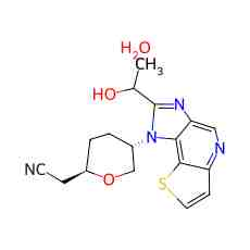 CC(O)c1nc2cnc3ccsc3c2n1[C@H]1CC[C@H](CC#N)OC1.O